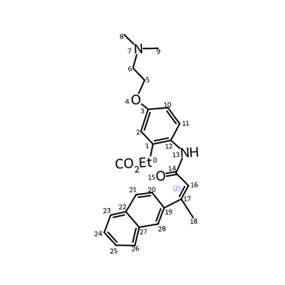 CCOC(=O)c1cc(OCCN(C)C)ccc1NC(=O)/C=C(/C)c1ccc2ccccc2c1